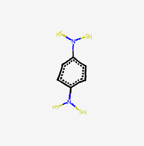 SN(S)c1ccc(N(S)S)cc1